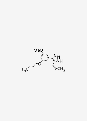 C/N=C\c1[nH]nnc1-c1cc(OC)cc(OCCCC(F)(F)F)c1